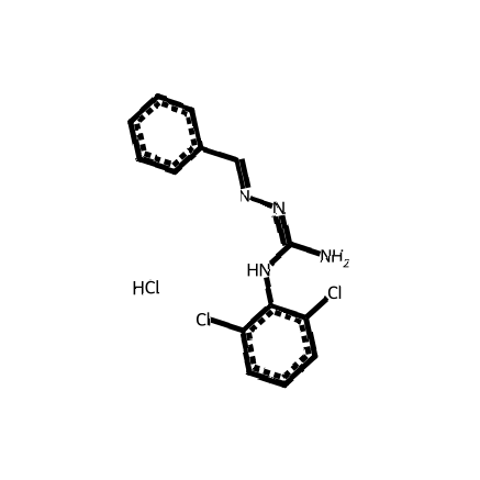 Cl.NC(=NN=Cc1ccccc1)Nc1c(Cl)cccc1Cl